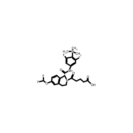 C[Si](C)(C)c1c(F)cc(NC(=O)[C@H]2c3ccc(OC(F)F)cc3CCN2C(=O)CCCC(=O)O)cc1F